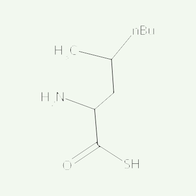 CCCCC(C)CC(N)C(=O)S